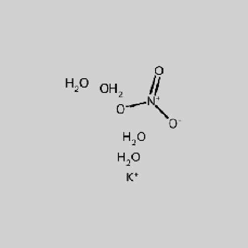 O.O.O.O.O=[N+]([O-])[O-].[K+]